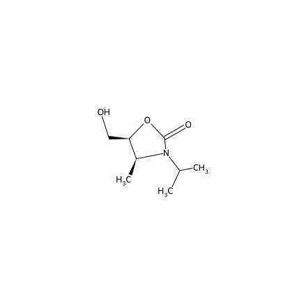 CC(C)N1C(=O)O[C@H](CO)[C@@H]1C